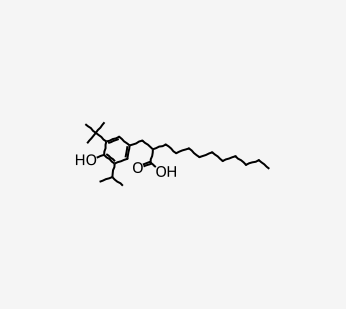 CCCCCCCCCCC(Cc1cc(C(C)C)c(O)c(C(C)(C)C)c1)C(=O)O